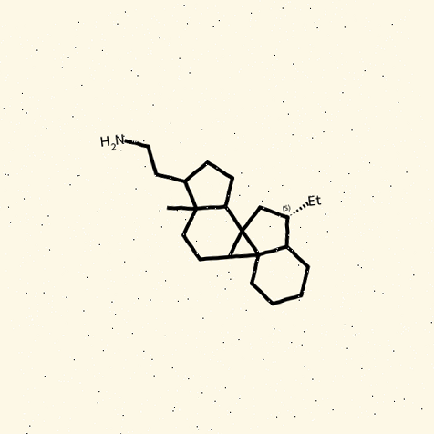 CC[C@H]1CC23C4CCC(CCN)C4(C)CCC2C32CCCCC12